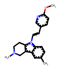 COc1ccc(/C=C/n2c3c(c4cc(C)ccc42)CN(C)CC3)cn1